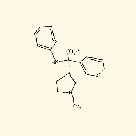 CN1CC[C@H](C(Nc2ccccc2)(C(=O)O)c2ccccc2)C1